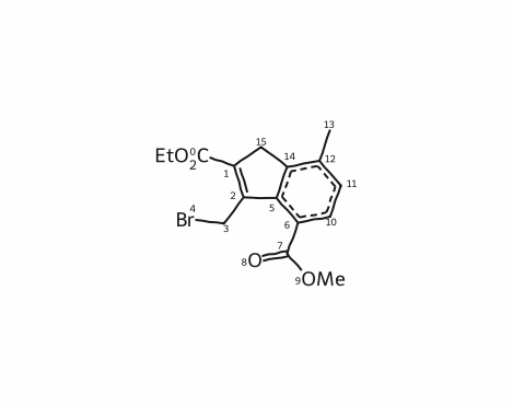 CCOC(=O)C1=C(CBr)c2c(C(=O)OC)ccc(C)c2C1